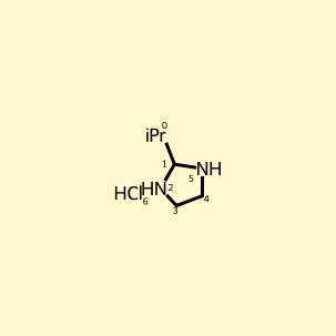 CC(C)C1NCCN1.Cl